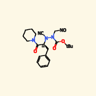 CC(C)(C)OC(=O)N(CN=O)N(C#N)[C@@H](Cc1ccccc1)C(=O)N1CCCCC1